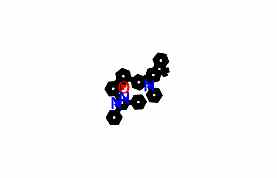 CC1(C)c2ccccc2-c2cc3c4cc(-c5cccc6c5oc5c(-c7nc(-c8ccccc8)cc(-c8ccccc8)n7)cccc56)ccc4n(-c4ccccc4)c3cc21